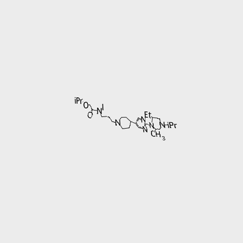 CCC1CN(C(C)C)CC(C)N1c1ncc(C2CCN(CCCN(I)C(=O)COC(C)C)CC2)cn1